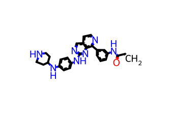 C=CC(=O)Nc1cccc(-c2nccc3cnc(Nc4ccc(NC5CCNCC5)cc4)nc23)c1